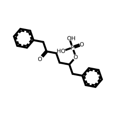 O=C(CCC(Cc1ccccc1)OP(=O)(O)O)Cc1ccccc1